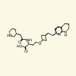 O=C(CC1CCCNC1)NC(CCOC1CC(CCc2ccc3c(n2)NCCC3)C1)C(=O)O